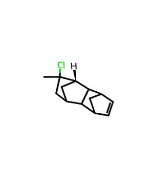 CC1(Cl)CC2C[C@H]1C1C3C=CC(C3)C21